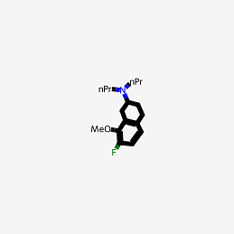 CCCN(CCC)C1CCc2ccc(F)c(OC)c2C1